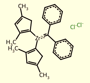 CC1=CC(C)=[C]([Zr+2]([C]2=C(C)C=C(C)C2)=[C](c2ccccc2)c2ccccc2)C1.[Cl-].[Cl-]